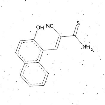 N#CC(=Cc1c(O)ccc2ccccc12)C(N)=S